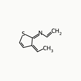 C=C/N=C1/SC=C/C1=C/C